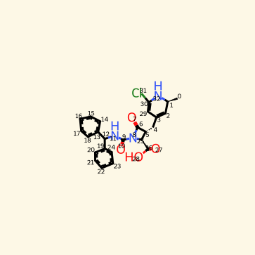 C[C@H]1C=C(C[C@H]2C(=O)N(C(=O)NC(c3ccccc3)c3ccccc3)[C@@H]2C(=O)O)C=C(Cl)N1